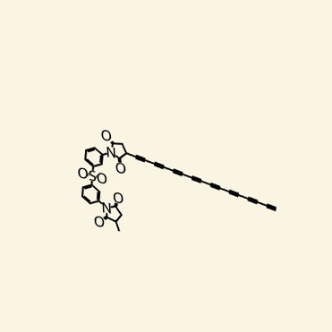 C#CC#CC#CC#CC#CC#CC#CC#CC1CC(=O)N(c2cccc(S(=O)(=O)c3cccc(N4C(=O)CC(C)C4=O)c3)c2)C1=O